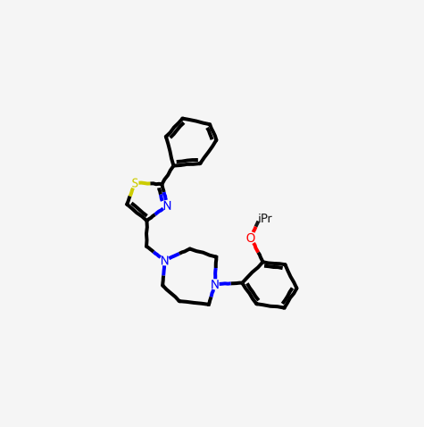 CC(C)Oc1ccccc1N1CCCN(Cc2csc(-c3ccccc3)n2)CC1